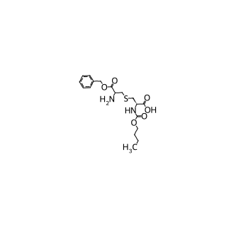 CCCCOC(=O)N[C@@H](CSCC(N)C(=O)OCc1ccccc1)C(=O)O